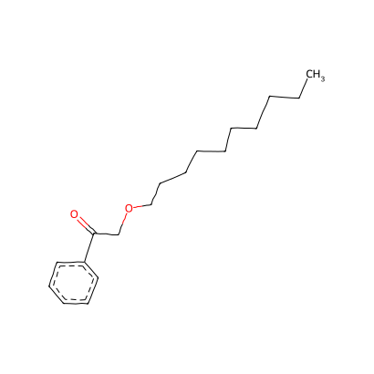 CCCCCCCCCCOCC(=O)c1ccccc1